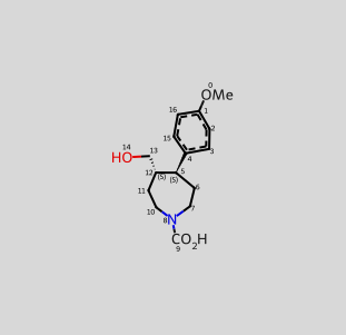 COc1ccc([C@H]2CCN(C(=O)O)CC[C@@H]2CO)cc1